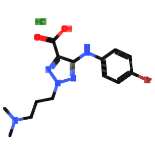 CN(C)CCCn1nc(Nc2ccc(Br)cc2)c(C(=O)O)n1.Cl